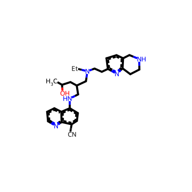 CCN(CCc1ccc2c(n1)CCNC2)CC(CNc1ccc(C#N)c2ncccc12)CC(C)O